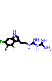 N=C(N)NC(=N)NCCc1c[nH]c2cc(F)c(F)c(F)c12